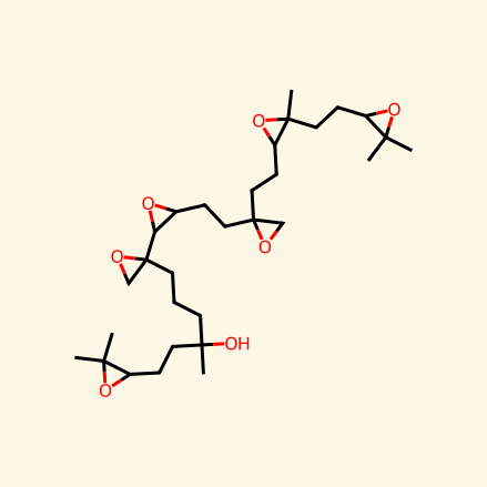 CC(O)(CCCC1(C2OC2CCC2(CCC3OC3(C)CCC3OC3(C)C)CO2)CO1)CCC1OC1(C)C